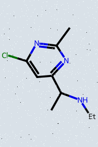 CCNC(C)c1cc(Cl)nc(C)n1